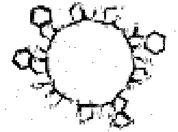 CC(C)C[C@@H]1NC(=O)[C@H](Cc2ccccc2)N(C)C(=O)[C@H](Cc2ccccc2)N(C)C(=O)[C@H](C(C)C)NC(=O)[C@H](CC(C)C)N(C)C(=O)C(Cc2nnn[nH]2)NC(=O)[C@H](CC(C)C)N(C)C(=O)C(C(=O)N2CCCCC2)NC(=O)[C@H](CC(C)C)N(C)C1=O